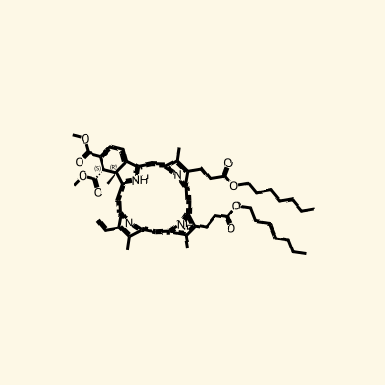 C=CC1=C(C)c2cc3[nH]c(cc4nc(cc5[nH]c(cc1n2)[C@@]1(C)C5=CC=C(C(=O)OC)[C@H]1C(=O)OC)C(C)=C4CCC(=O)OCCCCCCC)c(CCC(=O)OCCCCCCC)c3C